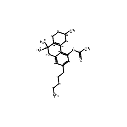 CCCCCc1cc(OC(C)=O)c2c(c1)OC(C)(C)C1=C2CC(C)CC1